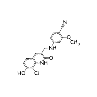 COc1cc(NCc2cc3ccc(O)c(Cl)c3[nH]c2=O)ccc1C#N